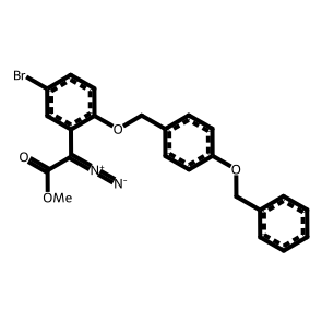 COC(=O)C(=[N+]=[N-])c1cc(Br)ccc1OCc1ccc(OCc2ccccc2)cc1